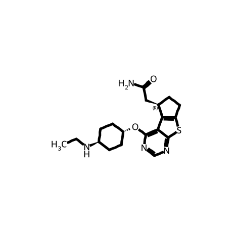 CCN[C@H]1CC[C@H](Oc2ncnc3sc4c(c23)[C@@H](CC(N)=O)CC4)CC1